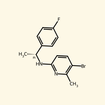 Cc1nc(N[C@H](C)c2ccc(F)cc2)ccc1Br